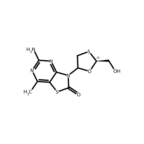 Cc1nc(N)nc2c1sc(=O)n2C1CS[C@@H](CO)O1